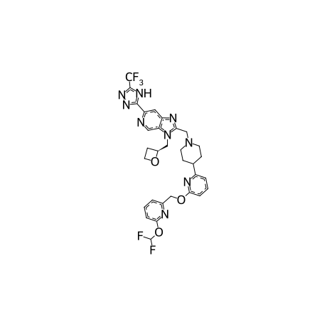 FC(F)Oc1cccc(COc2cccc(C3CCN(Cc4nc5cc(-c6nnc(C(F)(F)F)[nH]6)ncc5n4C[C@@H]4CCO4)CC3)n2)n1